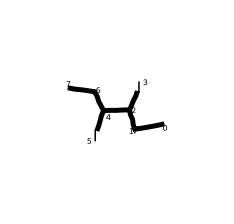 C[CH]C(I)C(I)CC